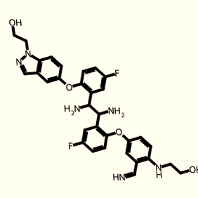 N=Cc1cc(Oc2ccc(F)cc2C(N)C(N)c2cc(F)ccc2Oc2ccc3c(cnn3CCO)c2)ccc1NCCO